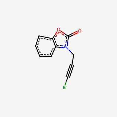 O=c1oc2ccccc2n1CC#CBr